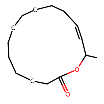 CC1/C=C\CCCCCCCCCCC(=O)O1